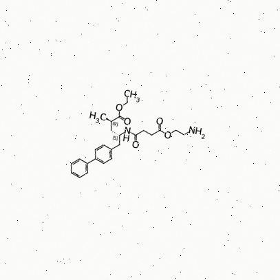 CCOC(=O)[C@H](C)C[C@@H](Cc1ccc(-c2ccccc2)cc1)NC(=O)CCC(=O)OCCN